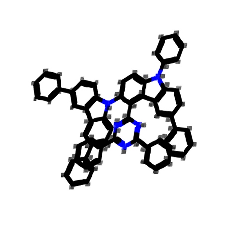 c1ccc(-c2ccc3c(c2)c2cc(-c4ccccc4)ccc2n3-c2ccc3c(c2-c2nc(-c4ccccc4)nc(-c4ccccc4)n2)c2cc(-c4ccccc4)ccc2n3-c2ccccc2)cc1